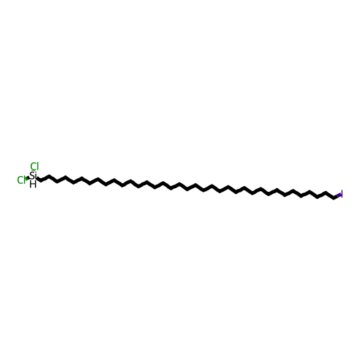 Cl[SiH](Cl)CCCCCCCCCCCCCCCCCCCCCCCCCCCCCCCCCCCCCI